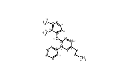 CCCC1=CN(c2ccccc2)C(Oc2cccc(C)c2C)C=N1